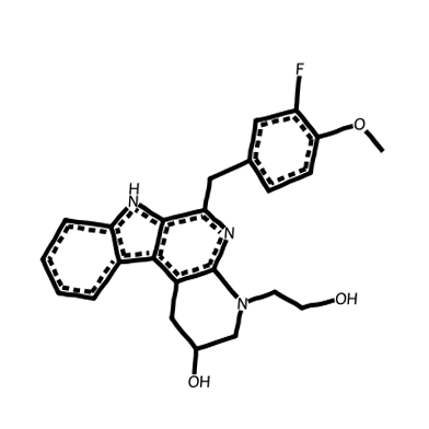 COc1ccc(Cc2nc3c(c4c2[nH]c2ccccc24)CC(O)CN3CCO)cc1F